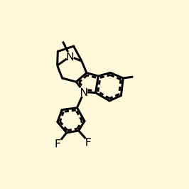 Cc1ccc2c(c1)c1c(n2-c2ccc(F)c(F)c2)CC2CCC1N2C